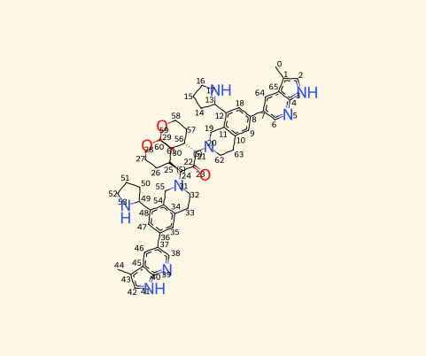 Cc1c[nH]c2ncc(-c3cc4c(c(C5CCCN5)c3)CN([C@H](C(=O)[C@H](C3CCOCC3)N3CCc5cc(-c6cnc7[nH]cc(C)c7c6)cc(C6CCCN6)c5C3)C3CCOCC3)CC4)cc12